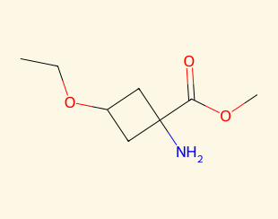 CCOC1CC(N)(C(=O)OC)C1